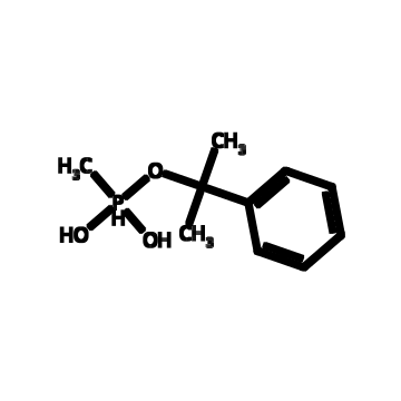 CC(C)(O[PH](C)(O)O)c1ccccc1